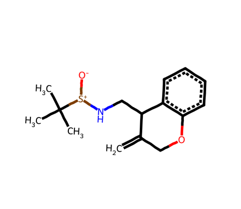 C=C1COc2ccccc2C1CN[S+]([O-])C(C)(C)C